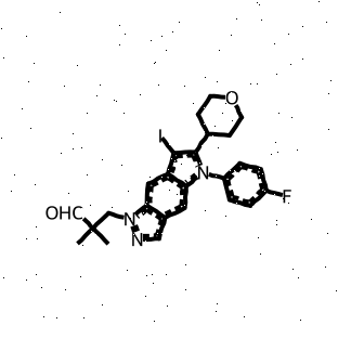 CC(C)(C=O)Cn1ncc2cc3c(cc21)c(I)c(C1CCOCC1)n3-c1ccc(F)cc1